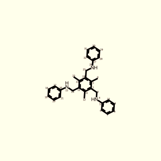 Cc1c(CNc2ccccc2)c(C)c(CNc2ccccc2)c(C)c1CNc1ccccc1